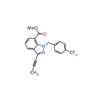 CC#Cc1nn(Cc2ccc(C(F)(F)F)cc2)c2c(C(=O)OC)cccc12